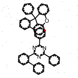 c1ccc(-c2nc(-c3cccc(-c4ccccc4C4(c5ccccc5)c5ccccc5Oc5ccccc54)c3)nc(-c3ccccc3-c3ccccc3)n2)cc1